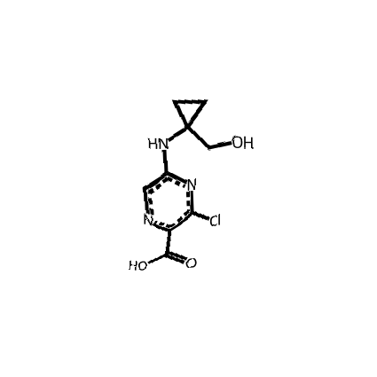 O=C(O)c1ncc(NC2(CO)CC2)nc1Cl